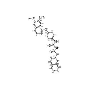 COc1cc2ncnc(Oc3ccc(NC(=S)NC(=O)Cc4ccc5ccccc5c4)cc3)c2cc1OC